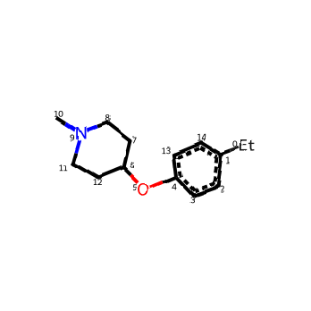 CCc1ccc(OC2CCN(C)CC2)cc1